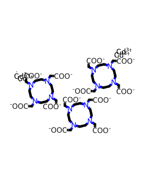 O=C([O-])CN1CCN(CC(=O)[O-])CCN(CC(=O)[O-])CCN(CC(=O)[O-])CC1.O=C([O-])CN1CCN(CC(=O)[O-])CCN(CC(=O)[O-])CCN(CC(=O)[O-])CC1.O=C([O-])CN1CCN(CC(=O)[O-])CCN(CC(=O)[O-])CCN(CC(=O)[O-])CC1.[Gd+3].[Gd+3].[Gd+3].[Gd+3]